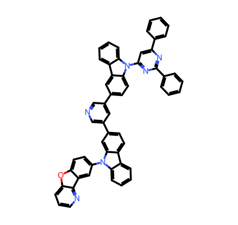 c1ccc(-c2cc(-n3c4ccccc4c4cc(-c5cncc(-c6ccc7c8ccccc8n(-c8ccc9oc%10cccnc%10c9c8)c7c6)c5)ccc43)nc(-c3ccccc3)n2)cc1